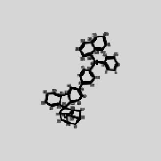 c1ccc(N(c2ccc(-c3ccc4c(c3)-c3ccccc3C43C4CC5CC6CC3(C5)C6C4)cc2)c2cccc3ccccc23)cc1